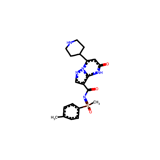 Cc1ccc(S(C)(=O)=NC(=O)c2cnn3c(C4CCNCC4)cc(=O)[nH]c23)cc1